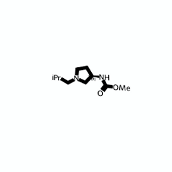 COC(=O)N[C@@H]1CCN(CC(C)C)C1